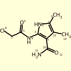 Cc1[nH]c(NC(=O)CCl)c(C(N)=O)c1C